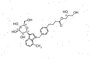 Cc1cccc2c([C@@H]3O[C@H](CO)[C@@H](O)[C@H](O)[C@H]3O)cn(Cc3ccc(CCCC(=O)OC[C@H](O)CO)cc3)c12